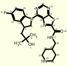 CC(C)(O)CC1CN(c2ncnc3sc(C(=O)NCC4CCNCC4)nc23)c2ccc(F)cc21